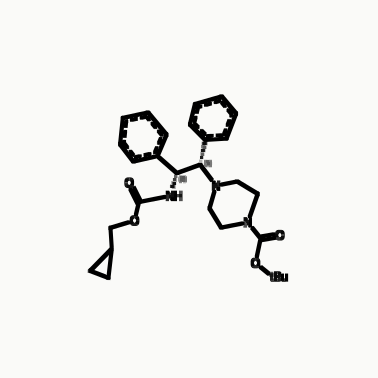 CC(C)(C)OC(=O)N1CCN([C@@H](c2ccccc2)[C@H](NC(=O)OCC2CC2)c2ccccc2)CC1